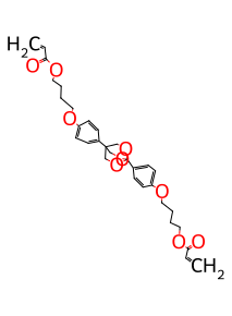 C=CC(=O)OCCCCOc1ccc(C23COC(c4ccc(OCCCCOC(=O)C=C)cc4)(OC2)OC3)cc1